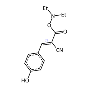 CCN(CC)OC(=O)/C(C#N)=C/c1ccc(O)cc1